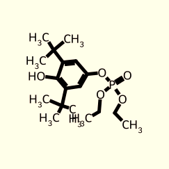 CCOP(=O)(OCC)Oc1cc(C(C)(C)C)c(O)c(C(C)(C)C)c1